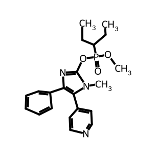 CCC(CC)P(=O)(OC)Oc1nc(-c2ccccc2)c(-c2ccncc2)n1C